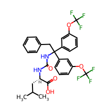 CC(C)C[C@H](NC(=O)NC(Cc1ccccc1)(c1cccc(OC(F)(F)F)c1)c1cccc(OC(F)(F)F)c1)C(=O)O